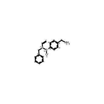 C=CN(Cc1ccccc1)[S+]([O-])c1ccc(CN)cc1